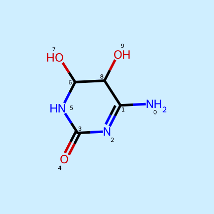 NC1=NC(=O)NC(O)C1O